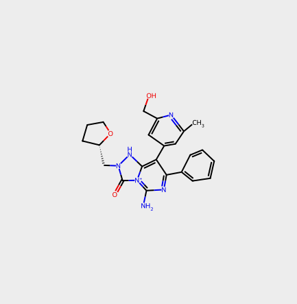 Cc1cc(-c2c(-c3ccccc3)nc(N)[n+]3c(=O)n(C[C@@H]4CCCO4)[nH]c23)cc(CO)n1